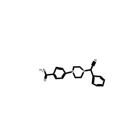 N#CC(c1ccccc1)N1CCN(c2ccc(C(N)=O)cc2)CC1